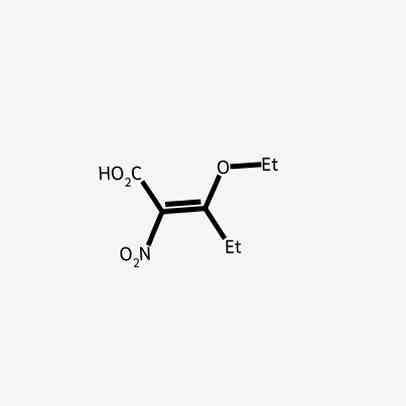 CCO/C(CC)=C(\C(=O)O)[N+](=O)[O-]